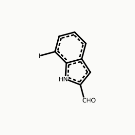 O=Cc1cc2cccc(I)c2[nH]1